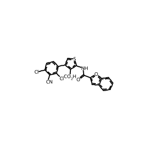 N#Cc1c(Cl)ccc(-c2csc(NC(=O)c3cc4ccccc4o3)c2C(=O)O)c1Cl